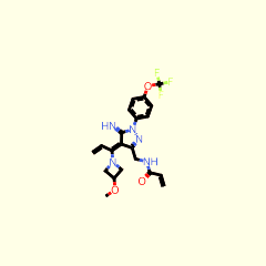 C=CC(=O)NCC1=NN(c2ccc(OC(F)(F)F)cc2)C(=N)/C1=C(\C=C)N1CC(OC)C1